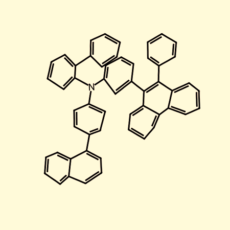 c1ccc(-c2ccccc2N(c2ccc(-c3cccc4ccccc34)cc2)c2cccc(-c3c(-c4ccccc4)c4ccccc4c4ccccc34)c2)cc1